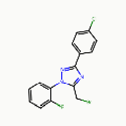 Fc1ccccc1-n1nc(-c2ccc(Cl)cc2)nc1CBr